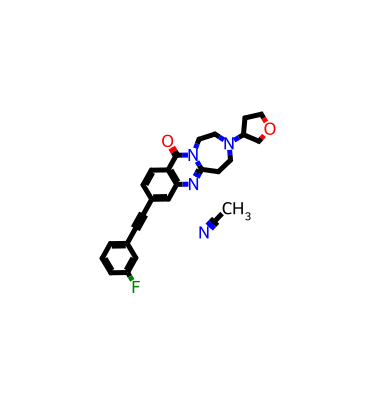 CC#N.O=c1c2ccc(C#Cc3cccc(F)c3)cc2nc2n1CCN(C1CCOC1)CC2